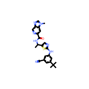 CC(NC(=O)c1cc2c(cn1)ncn2C)c1cnc(Nc2cc(C#N)cc(C(C)(C)C)c2)s1